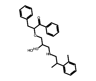 Cc1ccccc1C(C)CNCC(O)COC(Cc1ccccc1)C(=O)c1ccccc1.Cl